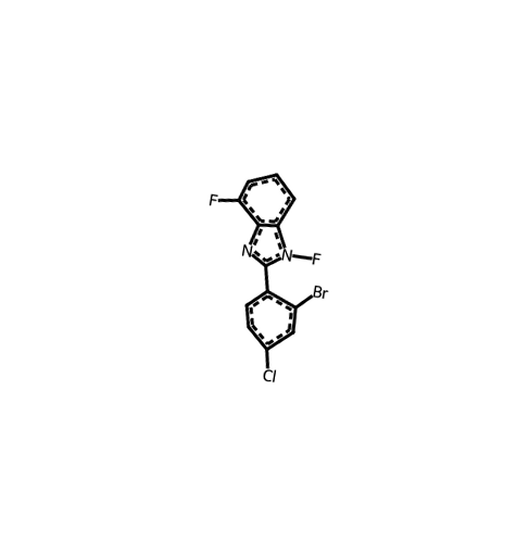 Fc1cccc2c1nc(-c1ccc(Cl)cc1Br)n2F